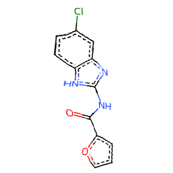 O=C(Nc1nc2cc(Cl)ccc2[nH]1)c1ccco1